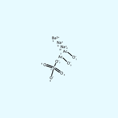 CC(=O)[O-].CC(=O)[O-].O=S(=O)([O-])[O-].[Ba+2].[Na+].[Na+]